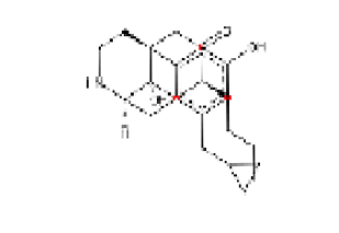 CCCC[C@H]1C[C@@]2(O)[C@H]3Cc4c(CC5CC5)cc(O)cc4[C@@]2(CCN3)CC1=O